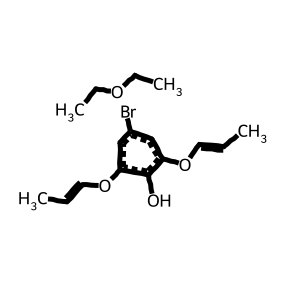 C/C=C/Oc1cc(Br)cc(O/C=C/C)c1O.CCOCC